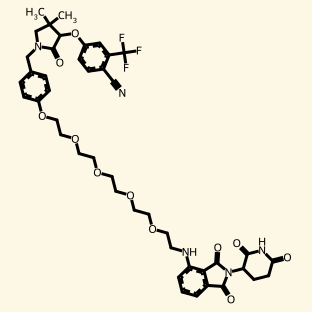 CC1(C)CN(Cc2ccc(OCCOCCOCCOCCOCCNc3cccc4c3C(=O)N(C3CCC(=O)NC3=O)C4=O)cc2)C(=O)C1Oc1ccc(C#N)c(C(F)(F)F)c1